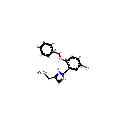 O=C(O)Cc1csc(-c2cc(Br)ccc2OCc2ccccc2)n1